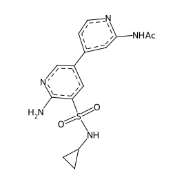 CC(=O)Nc1cc(-c2cnc(N)c(S(=O)(=O)NC3CC3)c2)ccn1